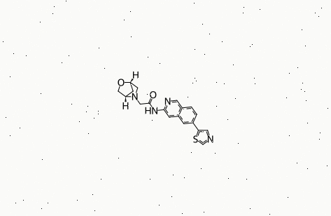 O=C(CN1C[C@@H]2C[C@H]1CO2)Nc1cc2cc(-c3cncs3)ccc2cn1